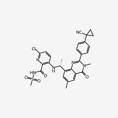 Cc1cc([C@@H](C)Nc2ccc(Cl)nc2C(=O)NS(C)(=O)=O)c2nc(-c3ccc(C4(C#N)CC4)cc3)n(C)c(=O)c2c1